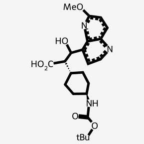 COc1ccc2nccc(C(O)C(C(=O)O)[C@H]3CC[C@H](NC(=O)OC(C)(C)C)CC3)c2n1